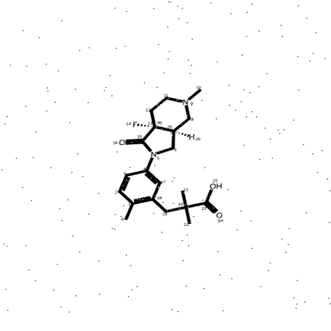 Cc1ccc(N2C[C@@H]3CN(C)CC[C@]3(F)C2=O)cc1CC(C)(C)C(=O)O